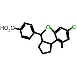 Cc1cc(Cl)cc(Cl)c1C1CCCC1C(C)c1ccc(C(=O)O)cc1